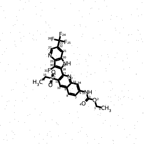 CCOC(=O)Nc1ccc2cc(S(=O)(=O)CC)c(-c3[nH]c4cc(C(F)(F)F)cnc4c3F)nc2c1